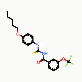 CCCCCOc1ccc(NC(=S)NC(=O)c2cccc(OC(F)(F)F)c2)cc1